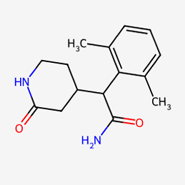 Cc1cccc(C)c1C(C(N)=O)C1CCNC(=O)C1